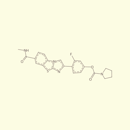 CNC(=O)c1ccc2c(c1)sc1nc(-c3ccc(OC(=O)N4CCCC4)cc3F)cn12